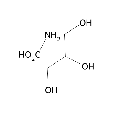 NC(=O)O.OCC(O)CO